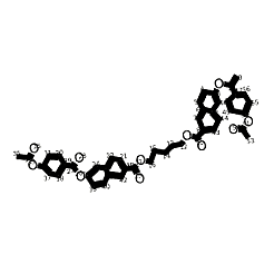 C=C(Oc1ccc2cc(C(=O)OCCCCCOC(=O)c3ccc4cc(OC(=O)c5ccc(OC(C)=O)cc5)ccc4c3)ccc2c1)c1ccc(OC(C)=O)cc1